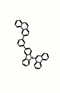 c1cc(-c2ccc3ccc4ccccc4c3c2)cc(-c2ccc3c(c2)c2ccccc2n3-c2cc3ccccc3c3ccccc23)c1